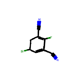 N#CC1=CC(Br)CC(C#N)=C1F